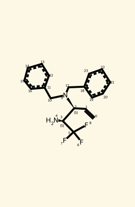 C=C[C@@H]([C@H](N)C(F)(F)F)N(Cc1ccccc1)Cc1ccccc1